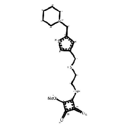 COc1c(NCCSCc2csc(CN3CCCCC3)c2)c(=O)c1=O